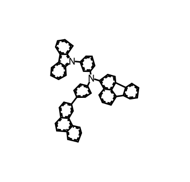 c1cc(N(c2ccc(-c3ccc4ccc5ccccc5c4c3)cc2)c2ccc3c4c(cccc24)-c2ccccc2-3)cc(-n2c3ccccc3c3ccccc32)c1